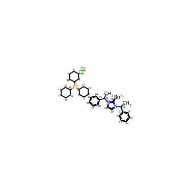 C1CCC(P(C2CCCCC2)C2CCCCC2)CC1.CC(c1ccccc1)n1ccn(C(C)c2ccccc2)[c]1=[Ru+2].[Cl-].[Cl-]